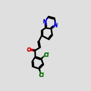 O=C(/C=C/c1ccc2nccnc2c1)c1ccc(Cl)cc1Cl